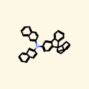 c1ccc2c(c1)-c1cc(N(c3ccc4ccccc4c3)c3ccc4ccccc4c3)ccc1C21C2CC3CC(C2)C1C3